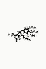 CC#CCCn1c(Cc2cc(OC)c(OC)c(OC)c2)nc2c(N)nc(F)nc21